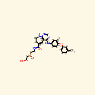 O=C(NCC[S+]([O-])CCO)C1=Cc2c(ncnc2Nc2ccc(Oc3cccc(C(F)(F)F)c3)c(Cl)c2)NCC1